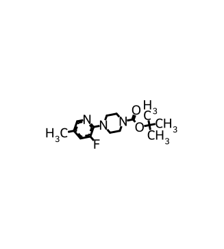 Cc1cnc(N2CCN(C(=O)OC(C)(C)C)CC2)c(F)c1